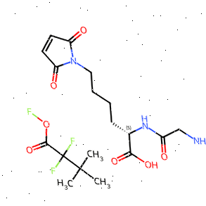 CC(C)(C)C(F)(F)C(=O)OF.NCC(=O)N[C@@H](CCCCN1C(=O)C=CC1=O)C(=O)O